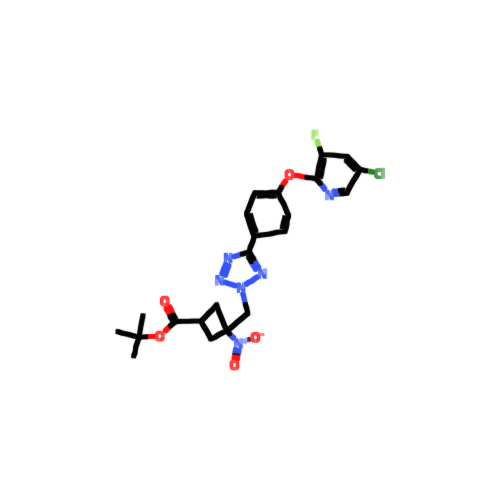 CC(C)(C)OC(=O)C1CC(Cn2nnc(-c3ccc(Oc4ncc(Cl)cc4F)cc3)n2)([N+](=O)[O-])C1